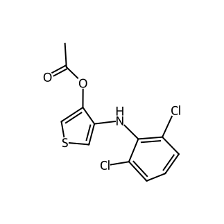 CC(=O)Oc1cscc1Nc1c(Cl)cccc1Cl